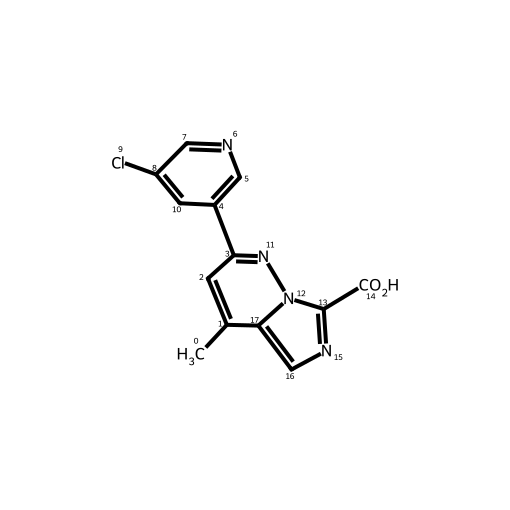 Cc1cc(-c2cncc(Cl)c2)nn2c(C(=O)O)ncc12